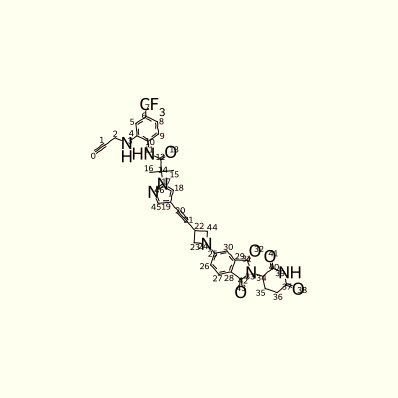 C#CCNc1cc(C(F)(F)F)ccc1NC(=O)C(C)(C)n1cc(C#CC2CN(c3ccc4c(c3)C(=O)N(C3CCC(=O)NC3=O)C4=O)C2)cn1